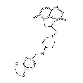 O=c1ccc2ncc(=O)n3c2n1CC3CN1CCC(NCc2ccc3c(c2)OCCO3)CC1